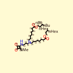 CCCCCCC(CCCCCC)CCOC(=O)CCCCCCCN(CCCCCCCC(=O)OCCC(CCCC)CCCC)CCCNc1c(NC)c(=O)c1=O